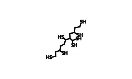 SCCC(S)CCC(S)C(CC(S)CCS)C(S)S